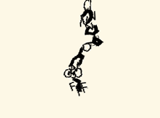 O=S(=O)(CCC(F)(F)F)N1CCC(COC[C@@H]2C=C[C@@H]2C2CCN(c3ncc(Cl)cn3)CC2)CC1